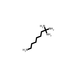 NCCCCCCC(N)(N)N